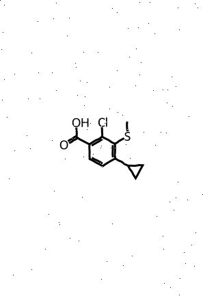 CSc1c(C2CC2)ccc(C(=O)O)c1Cl